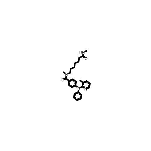 CNC(=O)CCCCCCN(C)C(=O)c1ccc(N(c2ccccc2)c2ncccc2C)cc1